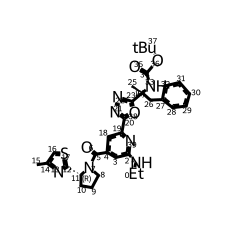 CCNc1cc(C(=O)N2CCC[C@@H]2c2nc(C)cs2)cc(-c2nnc([C@@](C)(Cc3ccccc3)NC(=O)OC(C)(C)C)o2)n1